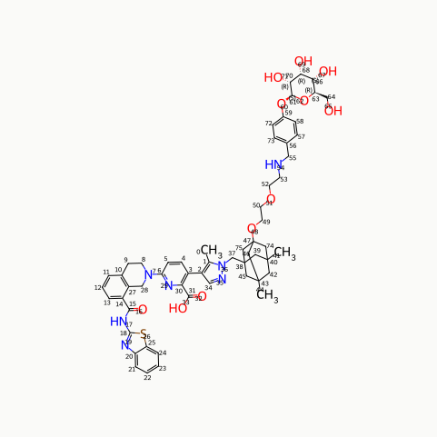 Cc1c(-c2ccc(N3CCc4cccc(C(=O)Nc5nc6ccccc6s5)c4C3)nc2C(=O)O)cnn1CC12CC3(C)CC(C)(C1)CC(OCCOCCNCc1ccc(O[C@@H]4O[C@H](CO)[C@@H](O)[C@@H](O)[C@H]4O)cc1)(C3)C2